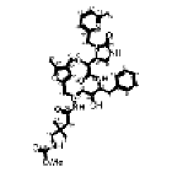 CCC(C)C(C(=O)NC(Cc1ccccc1)C(O)CN(Cc1cc(C)c(C)o1)NC(=O)CC(C)(C)CNC(=O)OC)C1CNC(=O)N1Cc1cccc(C)n1